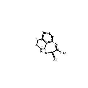 O=C(O)C(=O)O.c1ccc2c(c1)CCNC2